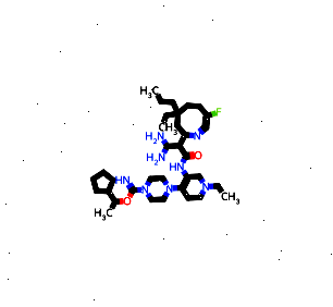 CCCC1(CC)CCC(F)=C=NC(C(C(=O)NC2=C(N3CCN(C(=N)OC(C)C4CCCC4)CC3)CCN(CC)C2)C(N)N)C1